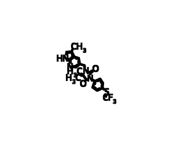 Cc1c[nH]c2ncc(CN3C(=O)N(c4ccc(SC(F)(F)F)cc4)C(=O)C3(C)C)cc12